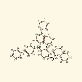 c1ccc(-c2ccc(N(c3ccc(-c4ccccc4)cc3)c3ccc4oc5c6ccccc6ccc5c4c3-c3ccccc3)cc2)cc1